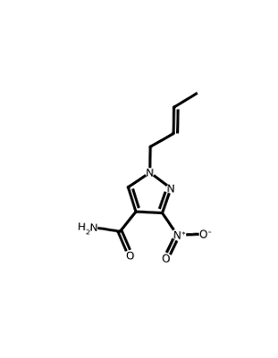 CC=CCn1cc(C(N)=O)c([N+](=O)[O-])n1